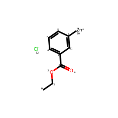 CCOC(=O)c1ccc[c]([Zn+])c1.[Cl-]